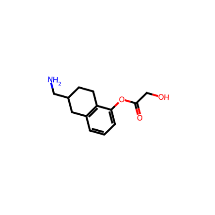 NCC1CCc2c(cccc2OC(=O)CO)C1